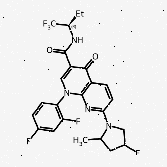 CC[C@@H](NC(=O)c1cn(-c2ccc(F)cc2F)c2nc(N3CC(F)CC3C)ccc2c1=O)C(F)(F)F